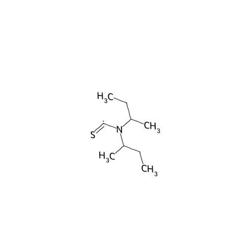 CCC(C)N([C]=S)C(C)CC